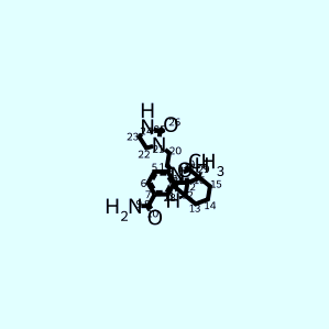 COC1(c2cccc(C(N)=O)c2)[C@@H]2CCC[C@H]1CN(CCN1CCNC1=O)C2